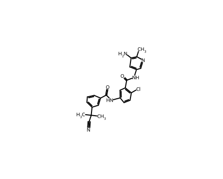 Cc1ncc(NC(=O)c2cc(NC(=O)c3cccc(C(C)(C)C#N)c3)ccc2Cl)cc1N